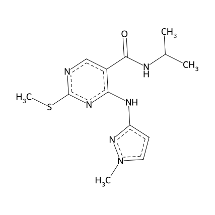 CSc1ncc(C(=O)NC(C)C)c(Nc2ccn(C)n2)n1